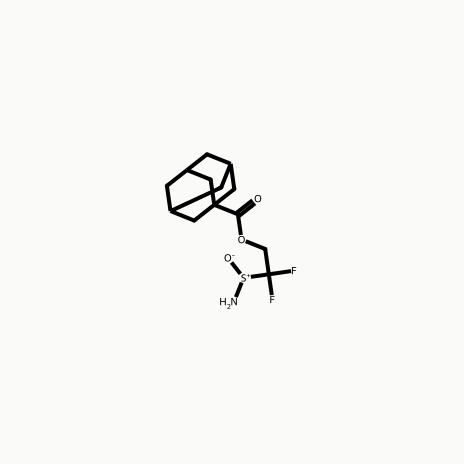 N[S+]([O-])C(F)(F)COC(=O)C12CC3CC(CC(C3)C1)C2